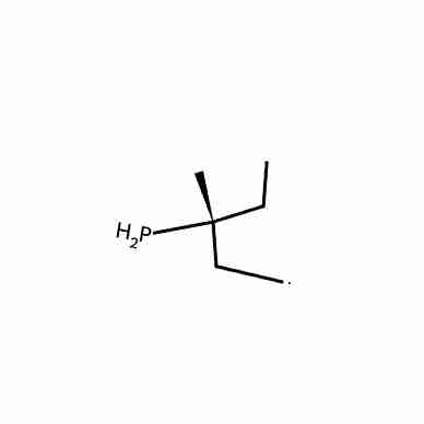 [CH2]C[C@](C)(P)CC